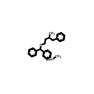 CC(CCOC(c1ccccc1)c1ccccc1)Cc1ccccc1.CCCCCCCCCC